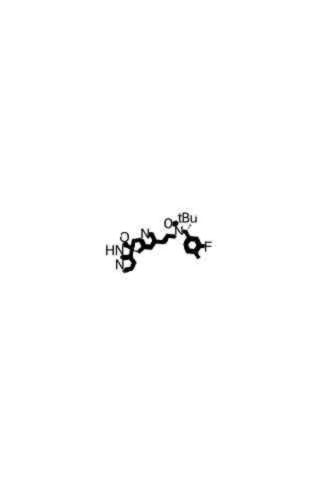 Cc1ccc([C@@H](C)N(C/C=C/c2cnc3c(c2)C[C@@]2(C3)C(=O)Nc3ncccc32)C(=O)C(C)(C)C)cc1F